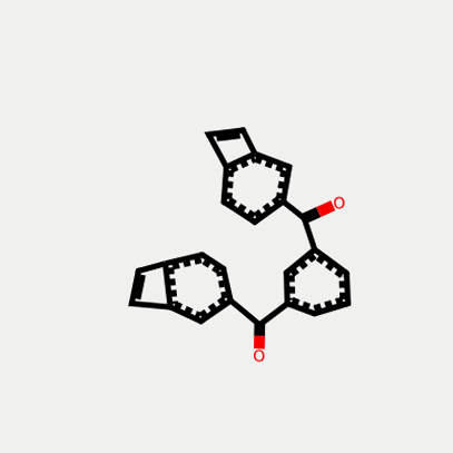 O=C(c1cccc(C(=O)c2ccc3c(c2)C=C3)c1)c1ccc2c(c1)C=C2